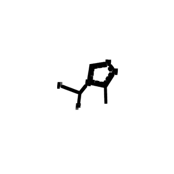 Cc1nncn1C(F)F